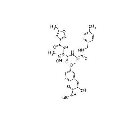 Cc1ccc(CNC(=O)[C@H](COc2cccc(C=C(C#N)C(=O)NC(C)(C)C)c2)NC(=O)[C@@H](NC(=O)c2cc(C)on2)[C@@H](C)O)cc1